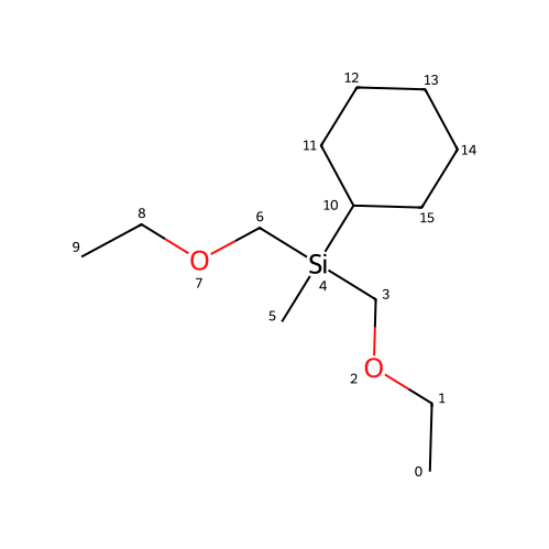 CCOC[Si](C)(COCC)C1CCCCC1